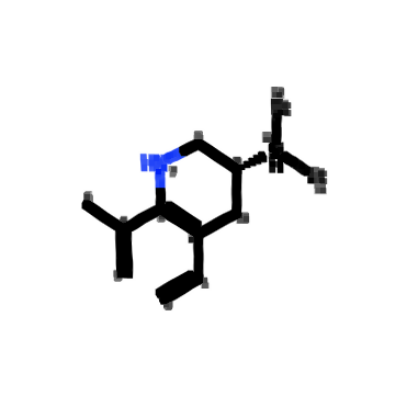 C=CC1=C(C(=C)C)NC[C@H]([SiH](CC)CC)C1